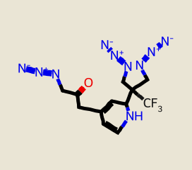 [N-]=[N+]=NCC(=O)CC1=CC(C(CN=[N+]=[N-])(CN=[N+]=[N-])C(F)(F)F)NC=C1